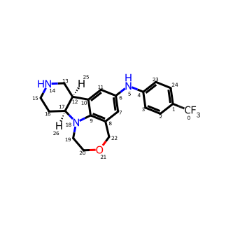 FC(F)(F)c1ccc(Nc2cc3c4c(c2)[C@@H]2CNCC[C@@H]2N4CCOC3)cc1